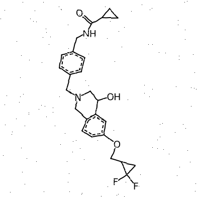 O=C(NCc1ccc(CN2Cc3ccc(OCC4CC4(F)F)cc3C(O)C2)cc1)C1CC1